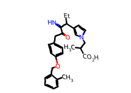 CCC(C(=N)C(=O)Cc1ccc(OCc2ccccc2C)cc1)c1ccn(CC(C)C(=O)O)c1